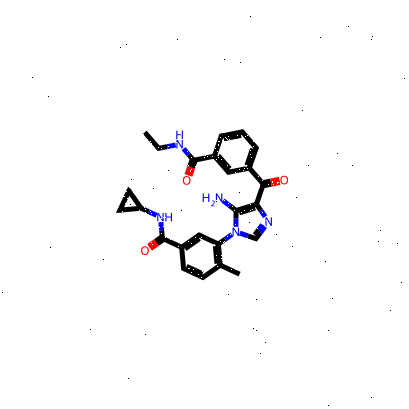 CCNC(=O)c1cccc(C(=O)c2ncn(-c3cc(C(=O)NC4CC4)ccc3C)c2N)c1